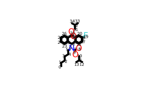 CCCCCCN(C(=O)OCC(C)C)C(c1ccc(F)cc1)c1ccccc1C(=O)OCC(C)C